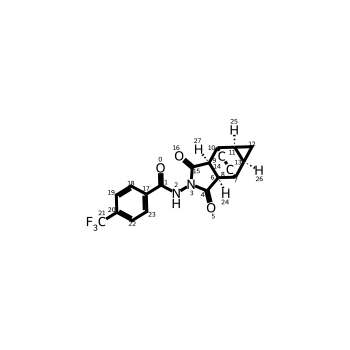 O=C(NN1C(=O)[C@@H]2C3CCC([C@H]4C[C@@H]34)[C@@H]2C1=O)c1ccc(C(F)(F)F)cc1